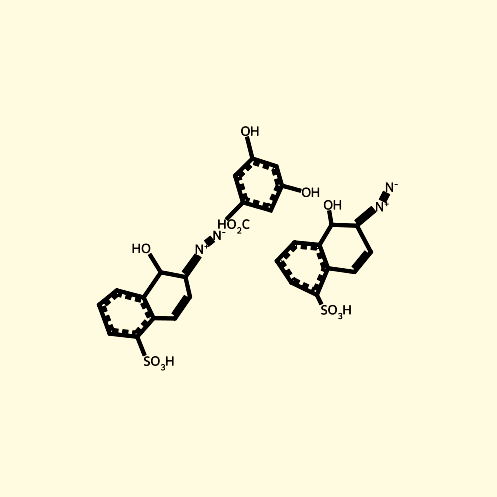 O=C(O)c1cc(O)cc(O)c1.[N-]=[N+]=C1C=Cc2c(cccc2S(=O)(=O)O)C1O.[N-]=[N+]=C1C=Cc2c(cccc2S(=O)(=O)O)C1O